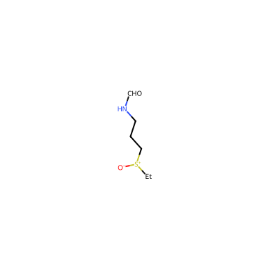 CC[S+]([O-])CCCNC=O